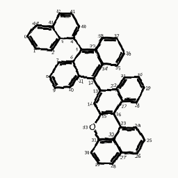 c1ccc2c(-c3c4ccccc4c(-c4cc5c(c6ccccc46)-c4cccc6cccc(c46)O5)c4ccccc34)cccc2c1